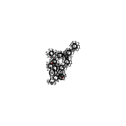 C1=Cc2c(ccc3c2Oc2c(ccc4ccccc24)C32c3ccccc3-c3cc(-c4cccc(N(c5ccc(-c6ccccc6)cc5)c5ccc(-c6ccccc6-c6ccccc6)cc5)c4)ccc32)CC1